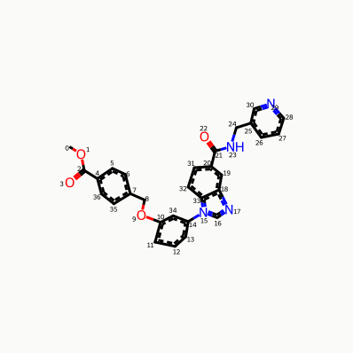 COC(=O)c1ccc(COc2cccc(-n3cnc4cc(C(=O)NCc5cccnc5)ccc43)c2)cc1